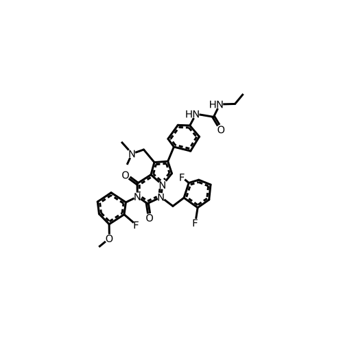 CCNC(=O)Nc1ccc(-c2cn3c(c2CN(C)C)c(=O)n(-c2cccc(OC)c2F)c(=O)n3Cc2c(F)cccc2F)cc1